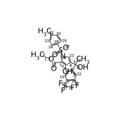 CCOC(=O)c1c(C)c(C(C)(O)c2ccc(C(F)(F)F)c(F)c2)cn1S(=O)(=O)c1ccc(C)cc1